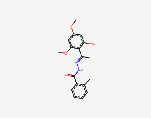 COc1cc(O)c(/C(C)=N/NC(=O)c2ccccc2C)c(OC)c1